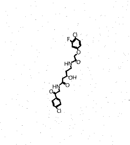 O=C(COc1ccc(Cl)c(F)c1)NCC[C@H](O)CC(=O)NCC(=O)c1ccc(Cl)cc1